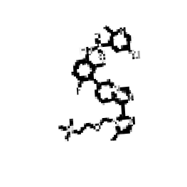 Cc1ncc(Cl)cc1S(=O)(=O)Nc1ccc(F)c(-c2ccc3c(-c4ncc(C)n4COCC[Si](C)(C)C)ncn3c2)c1F